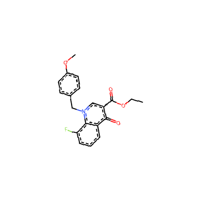 CCOC(=O)c1cn(Cc2ccc(OC)cc2)c2c(F)cccc2c1=O